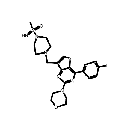 CS(=N)(=O)N1CCN(Cc2csc3c(-c4ccc(F)cc4)nc(N4CCOCC4)nc23)CC1